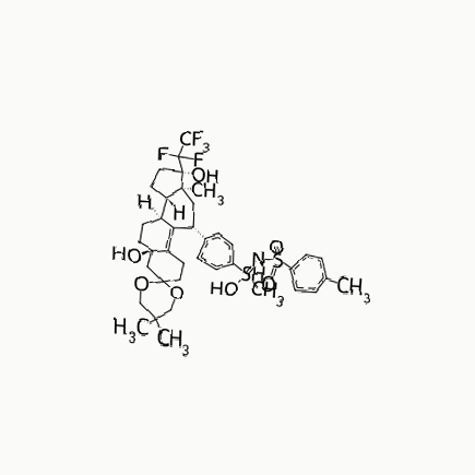 Cc1ccc(S(=O)(=O)N=[SH](C)(O)c2ccc([C@H]3C[C@@]4(C)[C@@H](CC[C@@]4(O)C(F)(F)C(F)(F)F)[C@@H]4CC[C@@]5(O)CC6(CCC5=C43)OCC(C)(C)CO6)cc2)cc1